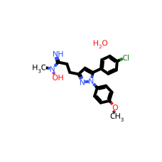 COc1ccc(-n2nc(CCC(=N)N(C)O)cc2-c2ccc(Cl)cc2)cc1.O